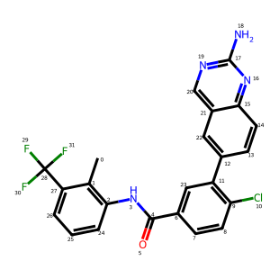 Cc1c(NC(=O)c2ccc(Cl)c(-c3ccc4nc(N)ncc4c3)c2)cccc1C(F)(F)F